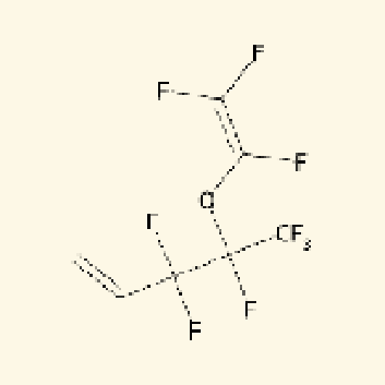 C=CC(F)(F)C(F)(OC(F)=C(F)F)C(F)(F)F